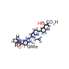 COc1cc(C(=O)N2C[C@H]3CC[C@@H]2[C@@H]3N)cc2nc(-c3cc4ccc(-c5ccc6ncc(C(=O)O)c(O)c6c5)nc4n3CC3CC3)n(C)c12